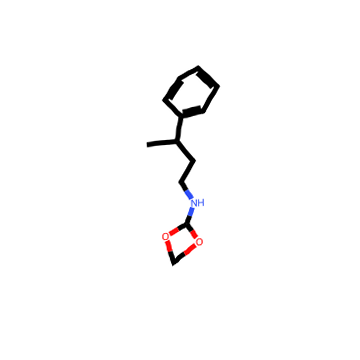 CC(CCNC1OCO1)c1ccccc1